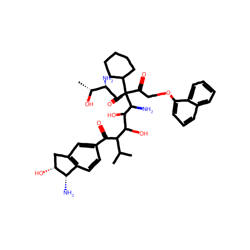 CC(C)C(C(=O)c1ccc2c(c1)C[C@@H](O)[C@H]2N)C(O)C(O)C(N)C(C(=O)COc1cccc2ccccc12)(C(=O)[C@@H](N)[C@@H](C)O)C1CCCCC1